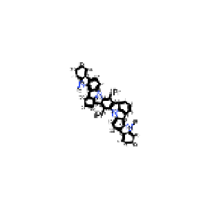 CC(C)c1c2c3cccc4c5c6c(ccc5n(c2c(C(C)C)c2c5cccc7c8c9c(ccc8n(c12)c57)c1ccccc1n9C)c34)c1ccccc1n6C